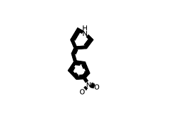 O=[N+]([O-])c1ccc(C=C2C=CNC=C2)cc1